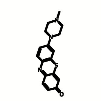 CN1CCN(c2ccc3nc4ccc(=O)cc-4sc3c2)CC1